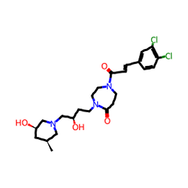 C[C@H]1C[C@@H](O)CN(C[C@H](O)CCN2CCN(C(=O)/C=C/c3ccc(Cl)c(Cl)c3)CCC2=O)C1